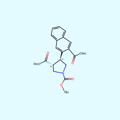 COC(=O)c1cc2ccccc2cc1[C@H]1CN(C(=O)OC(C)(C)C)C[C@@H]1C(=O)OC